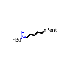 [CH2]CCCCCCCCCNCCCC